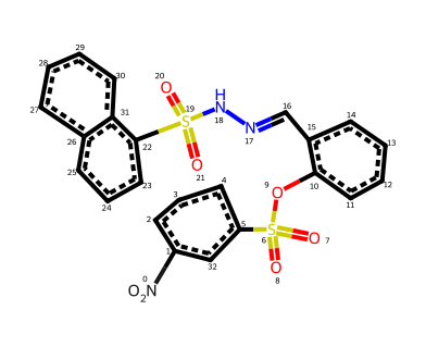 O=[N+]([O-])c1cccc(S(=O)(=O)Oc2ccccc2C=NNS(=O)(=O)c2cccc3ccccc23)c1